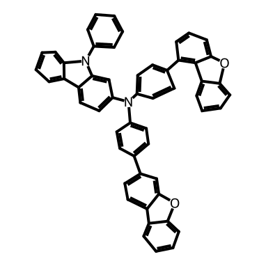 c1ccc(-n2c3ccccc3c3ccc(N(c4ccc(-c5ccc6c(c5)oc5ccccc56)cc4)c4ccc(-c5cccc6oc7ccccc7c56)cc4)cc32)cc1